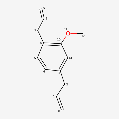 C=CCc1ccc(CC=C)c(OC)c1